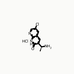 C[C@H](N)c1cc2cc(Cl)cnc2[nH]c1=O.Cl